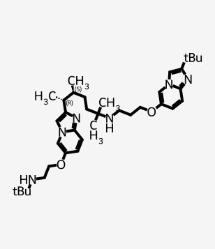 C[C@@H](CCC(C)(C)NCCCOc1ccc2nc(C(C)(C)C)cn2c1)[C@@H](C)c1cn2cc(OCCNC(C)(C)C)ccc2n1